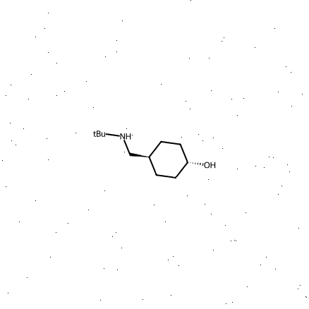 CC(C)(C)NC[C@H]1CC[C@H](O)CC1